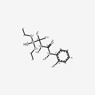 CCO[Si](O)(OCC)C(F)(F)N(F)C(=O)N(F)c1ccccc1F